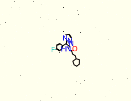 O=C(CCC1CCCCC1)Nc1nn2cccnc2c1-c1ccc(F)cc1